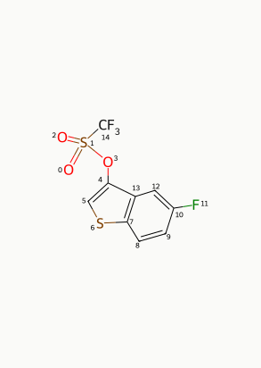 O=S(=O)(Oc1csc2ccc(F)cc12)C(F)(F)F